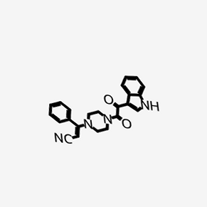 N#C/C=C(\c1ccccc1)N1CCN(C(=O)C(=O)c2c[nH]c3ccccc23)CC1